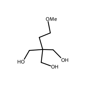 COCCC(CO)(CO)CO